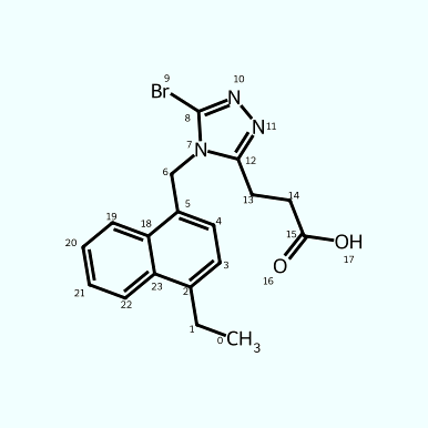 CCc1ccc(Cn2c(Br)nnc2CCC(=O)O)c2ccccc12